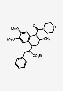 CCOC(=O)N(Cc1ccccc1)C1CC(C)N(C(=O)N2CCOCC2)c2cc(OC)c(OC)cc21